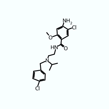 COc1cc(N)c(Cl)cc1C(=O)NCCN(Cc1ccc(Cl)cc1)C(C)C